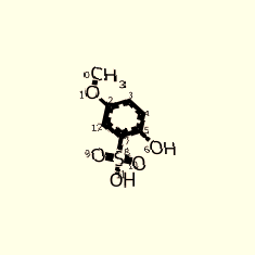 COc1ccc(O)c(S(=O)(=O)O)c1